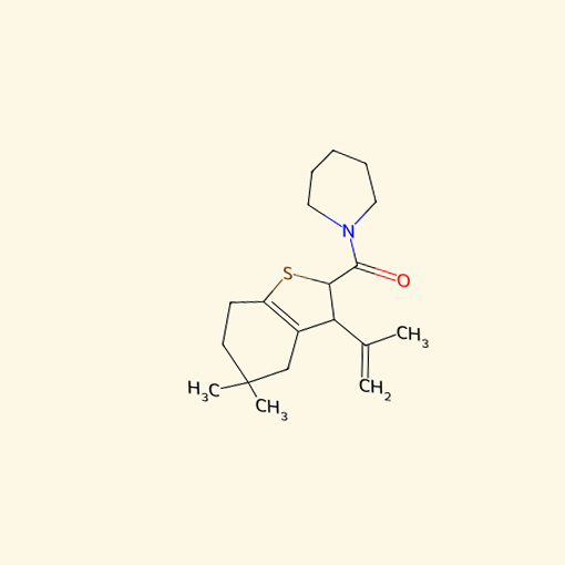 C=C(C)C1C2=C(CCC(C)(C)C2)SC1C(=O)N1CCCCC1